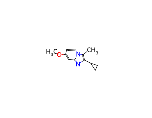 COc1ccn2c(C)c(C3CC3)nc2c1